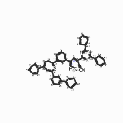 C#C/C(=C\C(=C/C)c1cccc(C2=NC(c3cccc(-c4ccccc4)c3)=CC(c3ccccc3)=CC2)c1)c1nc(-c2ccccc2)nc(-c2ccccc2)n1